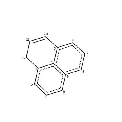 [c]1ccc2c3c(cccc13)C=CC2